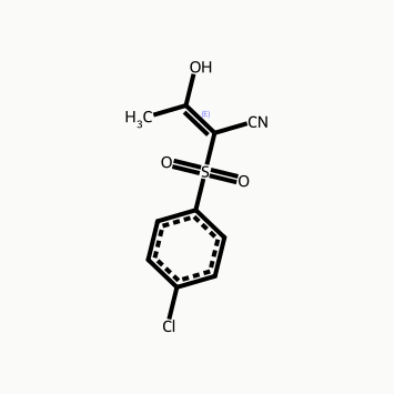 C/C(O)=C(/C#N)S(=O)(=O)c1ccc(Cl)cc1